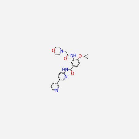 O=C(CN1CCOCC1)Nc1cc(C(=O)Nc2ccc(-c3cccnc3)cn2)ccc1OC1CC1